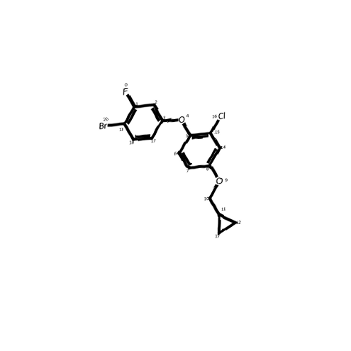 Fc1cc(Oc2ccc(OCC3CC3)cc2Cl)ccc1Br